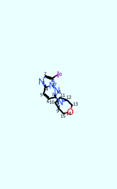 Ic1cnc2ccc(N3C4CCC3COC4)nn12